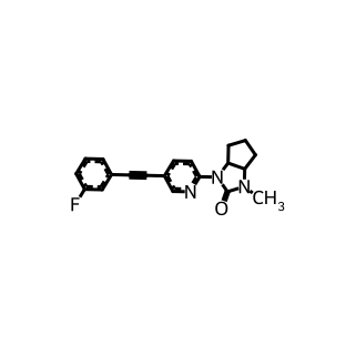 CN1C(=O)N(c2ccc(C#Cc3cccc(F)c3)cn2)C2CCCC21